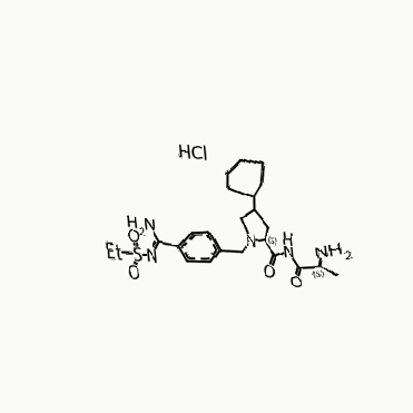 CCS(=O)(=O)N=C(N)c1ccc(CN2CC(C3CCCCC3)C[C@H]2C(=O)NC(=O)[C@H](C)N)cc1.Cl